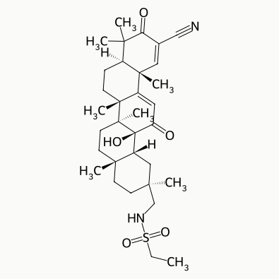 CCS(=O)(=O)NC[C@@]1(C)CC[C@]2(C)CC[C@@]3(C)[C@]4(C)CC[C@H]5C(C)(C)C(=O)C(C#N)=C[C@]5(C)C4=CC(=O)[C@]3(O)[C@@H]2C1